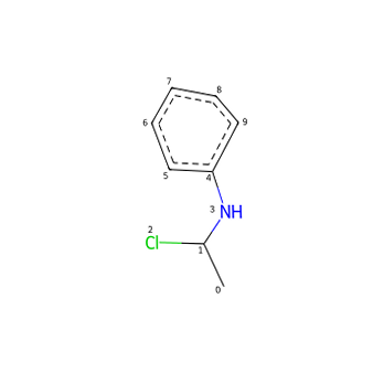 CC(Cl)Nc1ccccc1